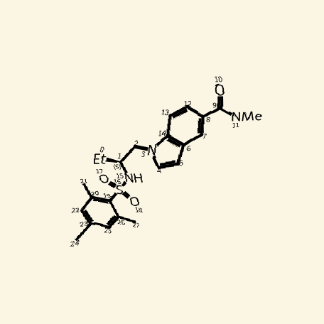 CC[C@@H](Cn1ccc2cc(C(=O)NC)ccc21)NS(=O)(=O)c1c(C)cc(C)cc1C